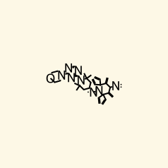 C=CC1(C=C)C(=C)C([N])C(=C)C(C=C)(C=C)N1[N]C1CC(C)(C)N(c2ncnc(N3CCOCC3)n2)C(C)(C)C1